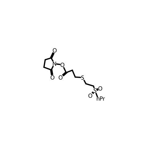 CCCS(=O)(=O)CCSCCC(=O)ON1C(=O)CCC1=O